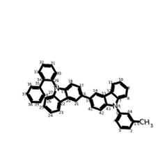 Cc1cccc(-n2c3ccccc3c3cc(-c4ccc5c(c4)c4ccccc4n5-c4ccccc4-c4ccccc4)ccc32)c1